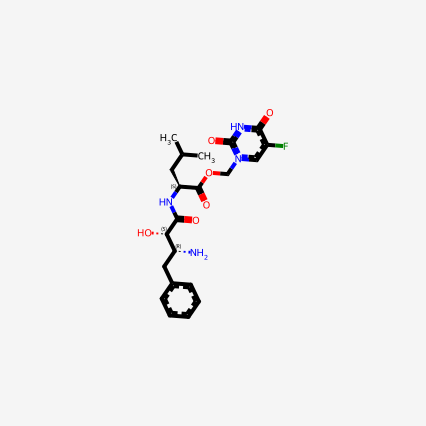 CC(C)C[C@H](NC(=O)[C@@H](O)[C@H](N)Cc1ccccc1)C(=O)OCn1cc(F)c(=O)[nH]c1=O